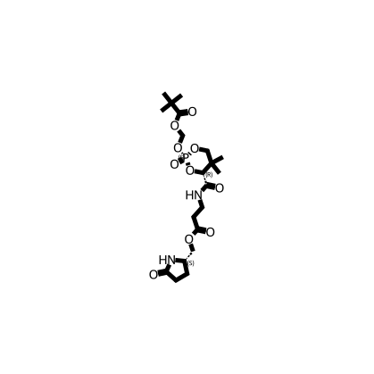 CC(C)(C)C(=O)OCO[P@@]1(=O)OCC(C)(C)[C@H](C(=O)NCCC(=O)OC[C@@H]2CCC(=O)N2)O1